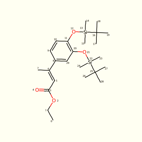 CCOC(=O)C=C(C)c1ccc(O[Si](C)(C)C(C)(C)C)c(O[Si](C)(C)C(C)(C)C)c1